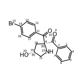 O=C(c1ccccc1)[C@@]1(C(=O)c2ccc(Br)cc2)C[C@@H](O)CN1